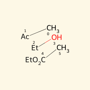 CC(C)=O.CCO.CCOC(C)=O